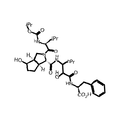 CCCC(NC(=O)[C@@H]1[C@H]2CCC(O)[C@H]2CN1C(=O)[C@@H](NC(=O)OC(C)C)C(C)C)C(O)C(=O)N[C@@H](Cc1ccccc1)C(=O)O